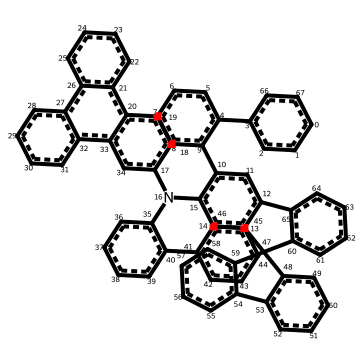 c1ccc(-c2ccccc2-c2cc3c(cc2N(c2ccc4c5ccccc5c5ccccc5c4c2)c2ccccc2-c2ccccc2)C2(c4ccccc4-c4ccccc42)c2ccccc2-3)cc1